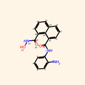 Nc1ccccc1NC(=O)c1cccc2cccc(C(=O)NO)c12